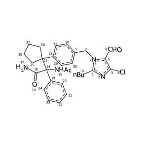 CCCCc1nc(Cl)c(C=O)n1Cc1ccc(C2(C(NC(C)=O)(C(N)=O)c3ccccc3)CCCC2)cc1